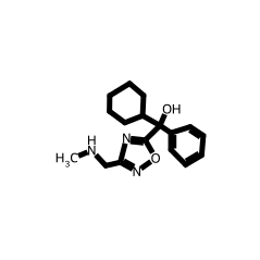 CNCc1noc(C(O)(c2ccccc2)C2CCCCC2)n1